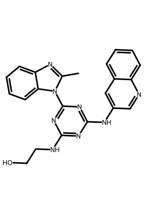 Cc1nc2ccccc2n1-c1nc(NCCO)nc(Nc2cnc3ccccc3c2)n1